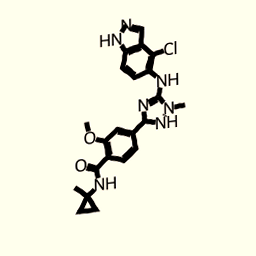 COc1cc(C2N=C(Nc3ccc4[nH]ncc4c3Cl)N(C)N2)ccc1C(=O)NC1(C)CC1